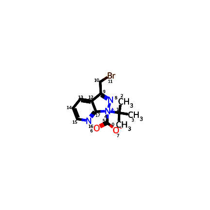 CC(C)(C)[N+]1(C(=O)[O-])N=C(CBr)c2cccnc21